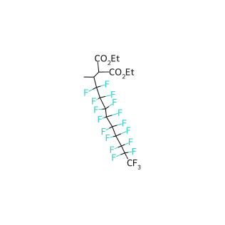 CCOC(=O)C(C(=O)OCC)C(C)C(F)(F)C(F)(F)C(F)(F)C(F)(F)C(F)(F)C(F)(F)C(F)(F)C(F)(F)C(F)(F)F